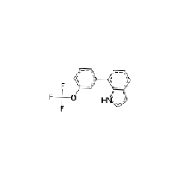 FC(F)(F)Oc1cccc(-c2cccc3cc[nH]c23)c1